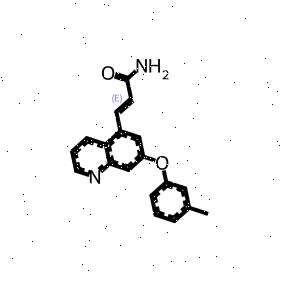 Cc1cccc(Oc2cc(/C=C/C(N)=O)c3cccnc3c2)c1